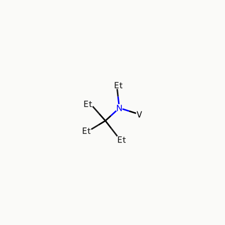 CC[N]([V])C(CC)(CC)CC